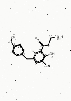 N#Cc1cc(Cc2ccc(OC(F)(F)F)cc2)nc(C(=O)CCC(=O)O)c1O